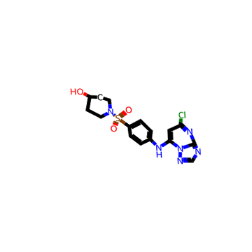 O=S(=O)(c1ccc(Nc2cc(Cl)nc3ncnn23)cc1)N1CCC(O)CC1